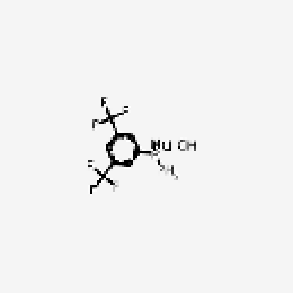 Cl.Cl.FC(F)(F)c1cc(PP)cc(C(F)(F)F)c1